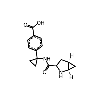 O=C(O)c1ccc(C2(NC(=O)[C@H]3C[C@H]4C[C@H]4N3)CC2)cc1